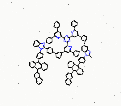 Cc1nc2cc(-c3cccc(-c4cc(-c5ccccc5)nc(-c5nc(-c6cc(-c7ccccc7)cc(-c7ccccc7)n6)nc(-c6cc(-c7cccc(-c8ccc(-c9nc%10ccccc%10n9-c9ccc(-c%10c%11ccccc%11c(-c%11ccc%12ccccc%12c%11)c%11ccccc%10%11)cc9)cc8)c7)cc(-c7ccccc7)n6)n5)c4)c3)ccc2n1-c1ccc(-c2c3ccccc3c(-c3ccc4ccccc4c3)c3ccccc23)cc1